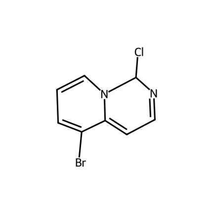 ClC1N=CC=C2C(Br)=CC=CN21